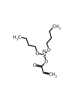 C=CC(=O)O[SiH](OCCCC)OCCCC